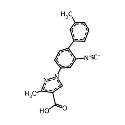 [C-]#[N+]c1cc(-n2cc(C(=O)O)c(C)n2)ccc1-c1cccc(C)c1